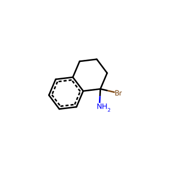 NC1(Br)CCCc2ccccc21